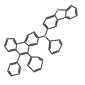 c1ccc(-c2c(-c3ccccc3)c3cc(N(c4ccccc4)c4ccc5oc6ccccc6c5c4)ccc3c3ccccc23)cc1